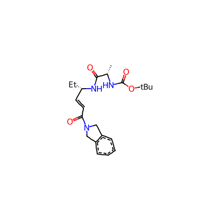 CC[C@@H](/C=C/C(=O)N1Cc2ccccc2C1)NC(=O)[C@H](C)NC(=O)OC(C)(C)C